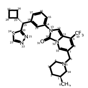 C[C@H]1CCCN(Cc2cc(C(F)(F)F)c3cn(-c4cccc([C@H](c5nncs5)C5CCC5)c4)c(=O)n3c2)C1